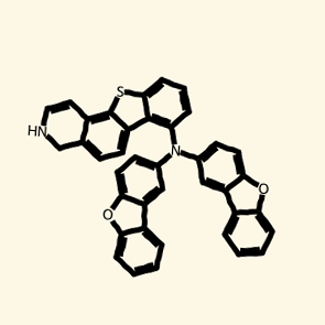 C1=Cc2c(ccc3c2sc2cccc(N(c4ccc5oc6ccccc6c5c4)c4ccc5oc6ccccc6c5c4)c23)CN1